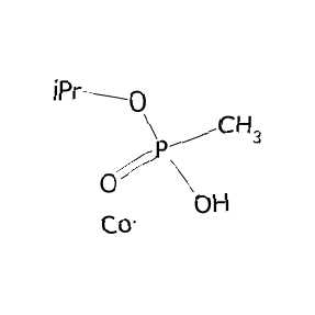 CC(C)OP(C)(=O)O.[Co]